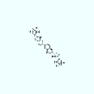 c1cc2nc(-c3cnc([C@@H]4C[C@H]5C[C@H]5N4)[nH]3)cnc2cc1-c1ccc2nc([C@@H]3C[C@H]4C[C@H]4N3)[nH]c2c1